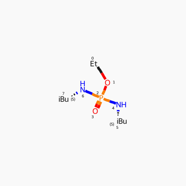 CCOP(=O)(N[C@@H](C)CC)N[C@@H](C)CC